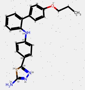 CCCOc1ccc(-c2ccccc2Nc2ccc(-c3nnc(N)s3)cc2)cc1